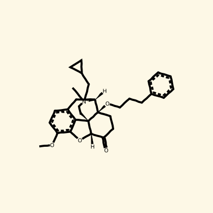 COc1ccc2c3c1O[C@H]1C(=O)CC[C@@]4(OCCCc5ccccc5)[C@@H](C2)[N+](C)(CC2CC2)CC[C@]314